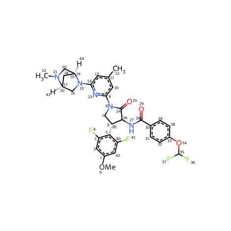 COc1cc(F)c([C@@H]2CN(c3cc(C)cc(N4C[C@@H]5C[C@H]4CN5C)n3)C(=O)C2NC(=O)c2ccc(OC(F)F)cc2)c(F)c1